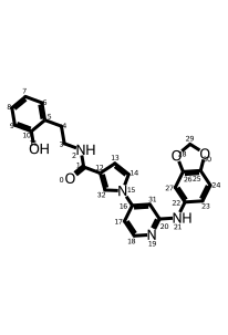 O=C(NCCc1ccccc1O)c1ccn(-c2ccnc(Nc3ccc4c(c3)OCO4)c2)c1